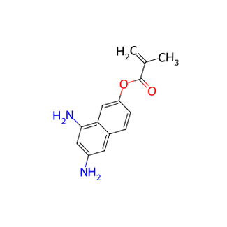 C=C(C)C(=O)Oc1ccc2cc(N)cc(N)c2c1